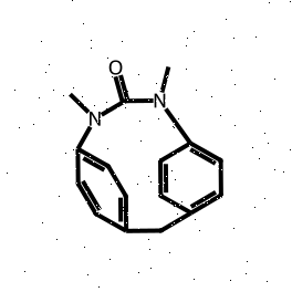 CN1C(=O)N(C)c2ccc(cc2)Cc2ccc1cc2